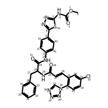 COC(=O)Nc1nnc(-c2ccc(NC(=O)C(Cc3ccccc3)NC(=O)C=Cc3cc(Cl)ccc3-n3cnnn3)cc2)s1